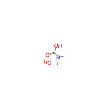 CN(C)C(=O)O.[OH]